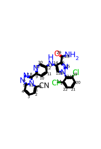 N#Cc1cccc2nnc(-c3ccc(Nc4cn(-c5c(Cl)cccc5Cl)nc4C(N)=O)cn3)n12